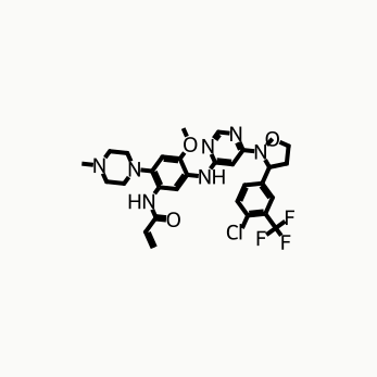 C=CC(=O)Nc1cc(Nc2cc(N3OCCC3c3ccc(Cl)c(C(F)(F)F)c3)ncn2)c(OC)cc1N1CCN(C)CC1